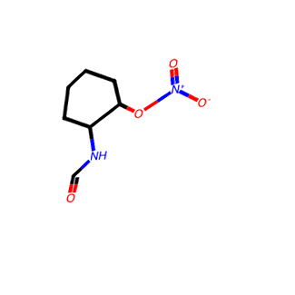 O=CNC1CCCCC1O[N+](=O)[O-]